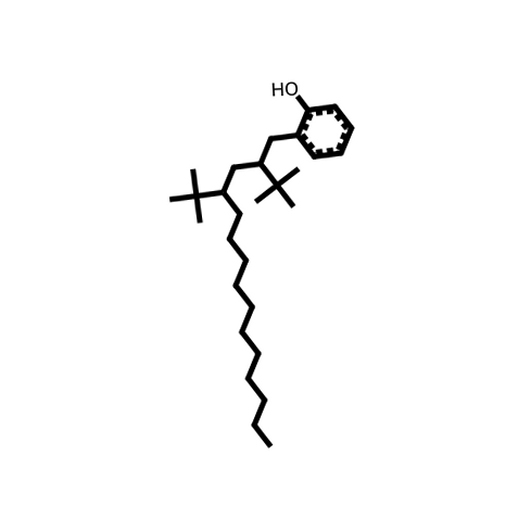 CCCCCCCCCCCC(CC(Cc1ccccc1O)C(C)(C)C)C(C)(C)C